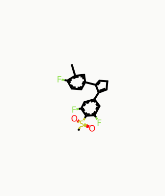 Cc1cc(C2=CCC=C2c2cc(F)c(S(C)(=O)=O)c(F)c2)ccc1F